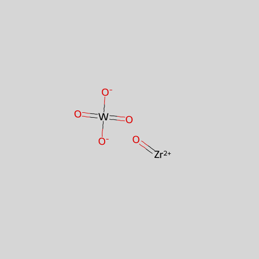 [O]=[W](=[O])([O-])[O-].[O]=[Zr+2]